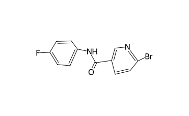 O=C(Nc1ccc(F)cc1)c1ccc(Br)nc1